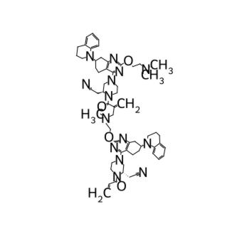 C=CC(=O)N1CCN(c2nc(OCCN(C)CC(=C)C(=O)N3CCN(c4nc(OCCN(C)C)nc5c4CC[C@@H](N4CCCc6ccccc64)C5)C[C@@H]3CC#N)nc3c2CC[C@H](N2CCCc4ccccc42)C3)C[C@@H]1CC#N